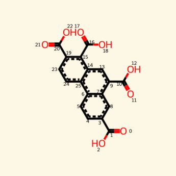 O=C(O)c1ccc2c(c1)c(C(=O)O)cc1c(C(=O)O)c(C(=O)O)ccc12